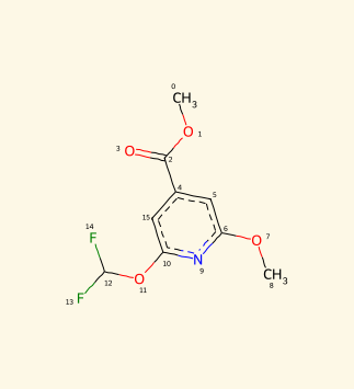 COC(=O)c1cc(OC)nc(OC(F)F)c1